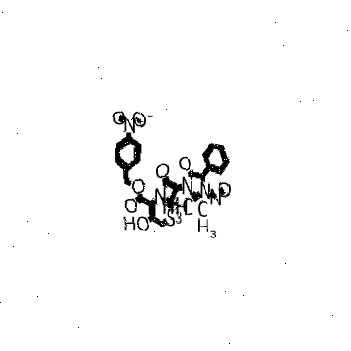 CC1(C)N(N=O)C(c2ccccc2)C(=O)N1C1C(=O)N2C(C(=O)OCc3ccc([N+](=O)[O-])cc3)=C(O)CS[C@@H]12